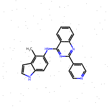 Cc1c(Nc2nc(-c3ccncc3)nc3ccccc23)ccc2[nH]ccc12